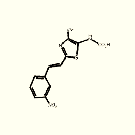 CC(C)c1nc(C=Cc2cccc([N+](=O)[O-])c2)sc1NC(=O)O